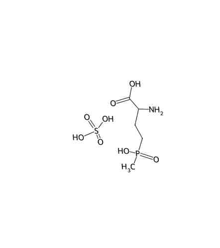 CP(=O)(O)CCC(N)C(=O)O.O=S(=O)(O)O